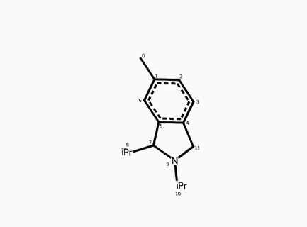 Cc1ccc2c(c1)C(C(C)C)N(C(C)C)C2